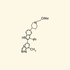 COCCN1CCC(c2ccc3[nH]c(-c4cc(C)c5nncn5c4)c(C(C)C)c3c2)CC1